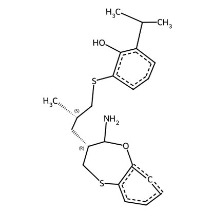 CC(C)c1cccc(SC[C@@H](C)C[C@H]2CSc3ccccc3OC2N)c1O